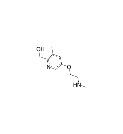 CNCCOc1cnc(CO)c(C)c1